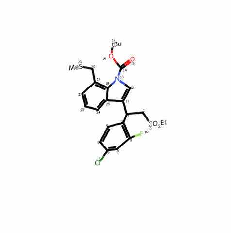 CCOC(=O)CC(c1ccc(Cl)cc1F)c1cn(C(=O)OC(C)(C)C)c2c(CSC)cccc12